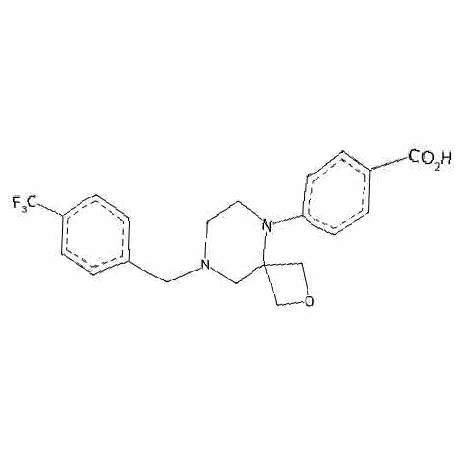 O=C(O)c1ccc(N2CCN(Cc3ccc(C(F)(F)F)cc3)CC23COC3)cc1